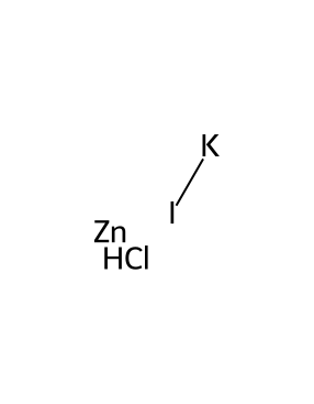 Cl.[K][I].[Zn]